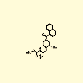 CCCCOC(=O)N[C@@H](CO)CN1CCN(C(=O)c2cccc3ccccc23)C[C@@H]1CCCC